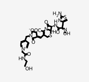 Nc1nc(/C(=N/O)C(=O)N[C@@H]2C(=O)N3C(C(=O)[O-])=C(C=C4CCN(Cc5cc[n+](CC(=O)NCCO)cc5)C4=O)CS[C@H]23)cs1